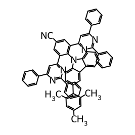 Cc1cc(C)c(-c2ccc3c(c2)c2ccccc2n3-c2c(-c3cc(-c4ccccc4)nc(-c4ccccc4)n3)cc(C#N)cc2-c2cc(-c3ccccc3)nc(-c3ccccc3)n2)c(C)c1